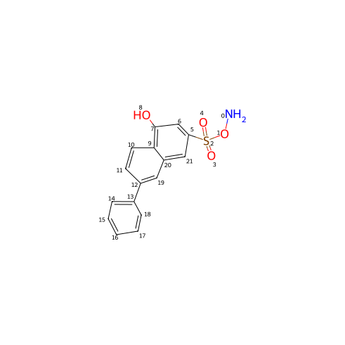 NOS(=O)(=O)c1cc(O)c2ccc(-c3ccccc3)cc2c1